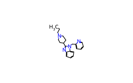 CCCN1CCC(c2nc3ccccc3n2Cc2ccccn2)CC1